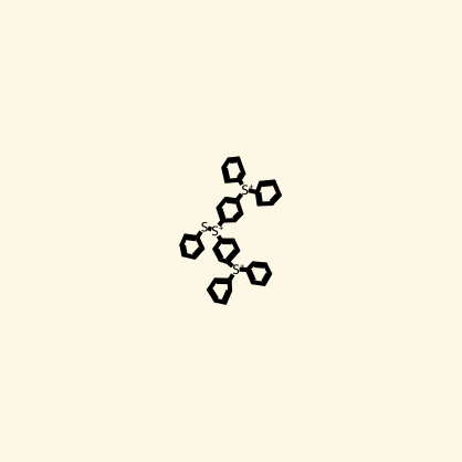 c1ccc(S[S+](c2ccc([S+](c3ccccc3)c3ccccc3)cc2)c2ccc([S+](c3ccccc3)c3ccccc3)cc2)cc1